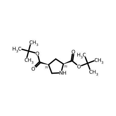 CC(C)(C)OC(=O)[C@@H]1CN[C@H](C(=O)OC(C)(C)C)C1